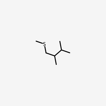 CSCC(C)C(C)C